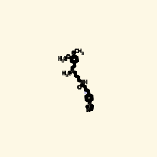 COc1ccc(CCN(C)CCCCNC(=O)C/C=C/c2ccc(-n3ccnc3)cc2)cc1OC